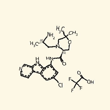 C[C@H](N)CN1CC(C)(C)OC[C@H]1C(=O)Nc1cc(Cl)cc2c1[nH]c1cnccc12.O=C(O)C(F)(F)F